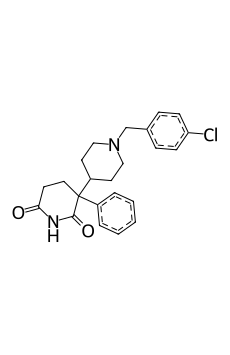 O=C1CCC(c2ccccc2)(C2CCN(Cc3ccc(Cl)cc3)CC2)C(=O)N1